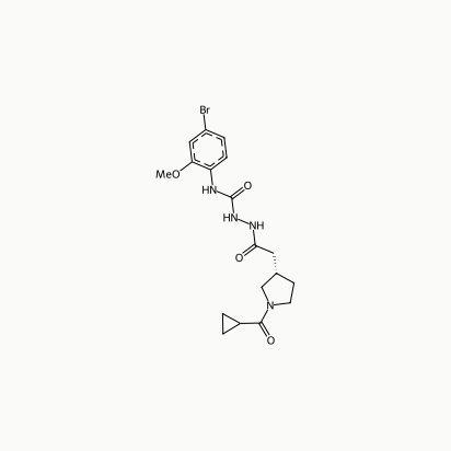 COc1cc(Br)ccc1NC(=O)NNC(=O)C[C@@H]1CCN(C(=O)C2CC2)C1